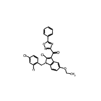 CCOc1ccc2c(c1)c(C(=O)c1noc(-c3ccccc3)n1)c(Cl)n2Cc1ccc(Cl)cc1Cl